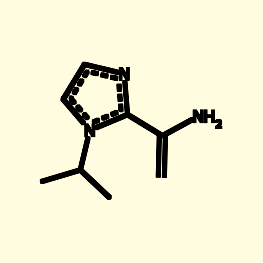 C=C(N)c1nccn1C(C)C